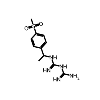 CC(NC(=N)NC(=N)N)c1ccc(S(C)(=O)=O)cc1